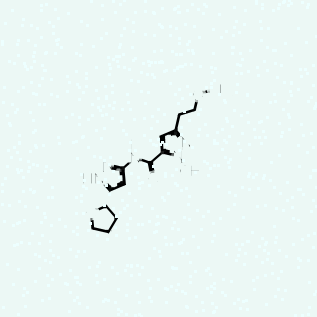 Cn1nc(CCOC(F)(F)F)cc1C(=O)Nc1cc([C@@H]2C[CH]CO2)[nH]n1